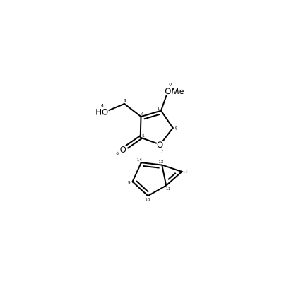 COC1=C(CO)C(=O)OC1.c1cc2cc-2c1